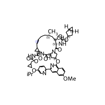 COc1ccc2c(O[C@@H]3C[C@H]4C(=O)N[C@]5(C(=O)NS(=O)(=O)C6CC6)CC5/C=C\CC[C@H](C)C[C@@H](C)[C@H](NC(=O)O[C@@H]5C[C@@H]6C[C@@H]6C5)C(=O)N4C3)nc(-c3ccc(OC(C)C)cn3)cc2c1